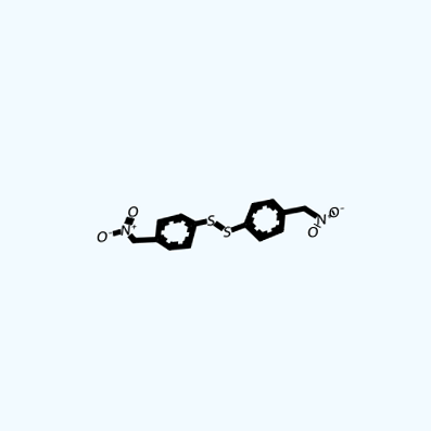 O=[N+]([O-])Cc1ccc(SSc2ccc(C[N+](=O)[O-])cc2)cc1